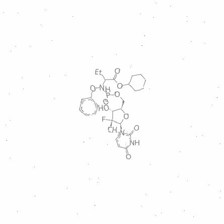 CCC(C(=O)OC1CCCCC1)N(Oc1ccccc1)[PH](=O)OC[C@H]1O[C@@H](n2ccc(=O)[nH]c2=O)[C@](C)(F)[C@@H]1O